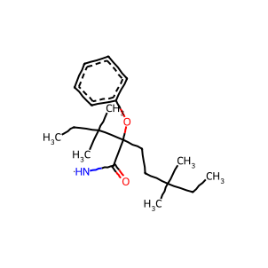 CCC(C)(C)CCC(Oc1ccccc1)(C([NH])=O)C(C)(C)CC